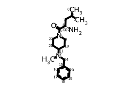 CC(C)C[C@H](N)C(=O)N1CCC(N(C)Cc2ccccc2)CC1